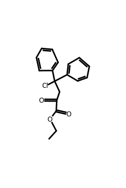 CCOC(=O)C(=O)CC(Cl)(c1ccccc1)c1ccccc1